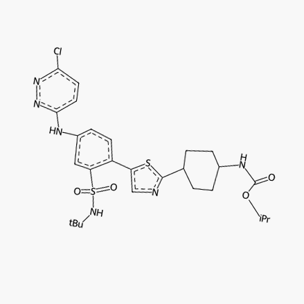 CC(C)OC(=O)NC1CCC(c2ncc(-c3ccc(Nc4ccc(Cl)nn4)cc3S(=O)(=O)NC(C)(C)C)s2)CC1